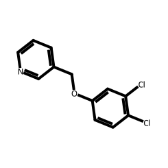 Clc1ccc(OCc2cccnc2)cc1Cl